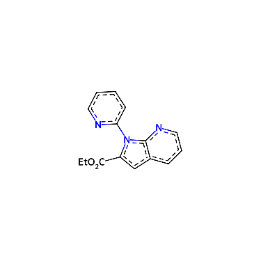 CCOC(=O)c1cc2cccnc2n1-c1ccccn1